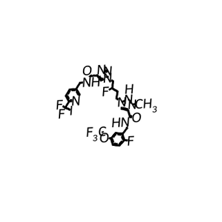 CN1NN(CCC(F)Cn2cc(C(=O)NCc3ccc(C(F)(F)I)nc3)nn2)C=C1C(=O)NCc1cc(OC(F)(F)F)ccc1F